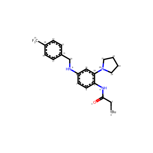 CC(C)(C)CC(=O)Nc1ccc(NCc2ccc(C(F)(F)F)cc2)cc1N1CCCC1